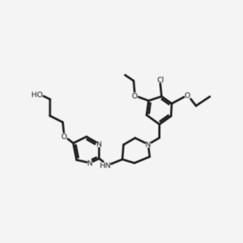 CCOc1cc(CN2CCC(Nc3ncc(OCCCO)cn3)CC2)cc(OCC)c1Cl